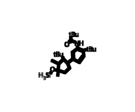 CC1C(C(C)(C)C)C(c2ccc(C(C)(C)C)c(NC(=O)C(C)(C)C)c2)CCC1(C)O[SiH3]